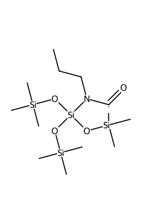 CCCN([C]=O)[Si](O[Si](C)(C)C)(O[Si](C)(C)C)O[Si](C)(C)C